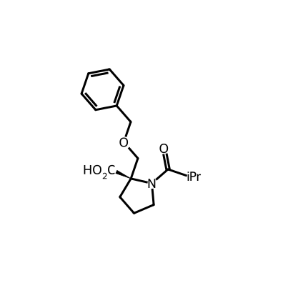 CC(C)C(=O)N1CCC[C@@]1(COCc1ccccc1)C(=O)O